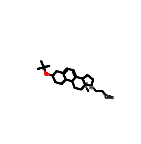 CC(=O)OCC[C@H]1CCC2C3=CC=C4CC(O[Si](C)(C)C)CCC4C3CC[C@@]21C